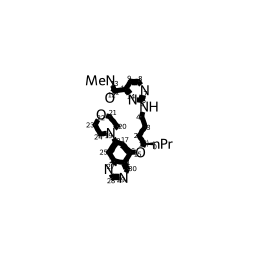 CCC[C@H](CCCNc1nccc(C(=O)NC)n1)Oc1cc(N2CCOCC2)cc2ncncc12